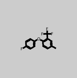 Cc1ccc(Oc2ccc(F)cc2)c(C(F)(F)F)c1